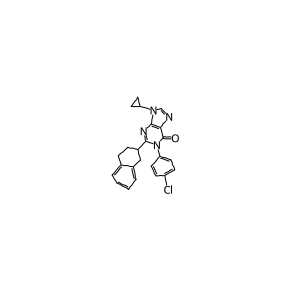 O=c1c2ncn(C3CC3)c2nc(C2CCc3ccccc3C2)n1-c1ccc(Cl)cc1